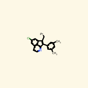 Cc1cc(C)cc(C2=C(CC(C)C)c3cc(Cl)cc4ccnc2c34)c1